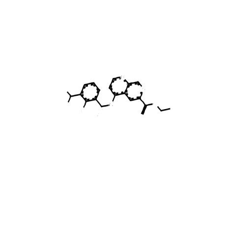 C=C(OCC)c1cc2c(N[C@H](C)c3cccc(C(F)F)c3F)ccnc2cn1